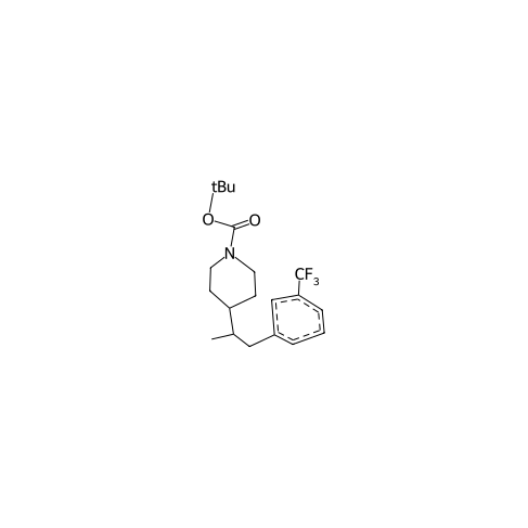 CC(Cc1cccc(C(F)(F)F)c1)C1CCN(C(=O)OC(C)(C)C)CC1